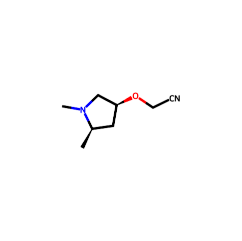 C[C@@H]1C[C@H](OCC#N)CN1C